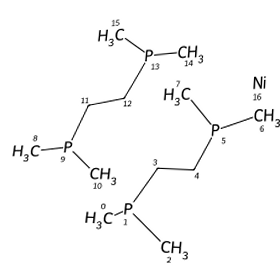 CP(C)CCP(C)C.CP(C)CCP(C)C.[Ni]